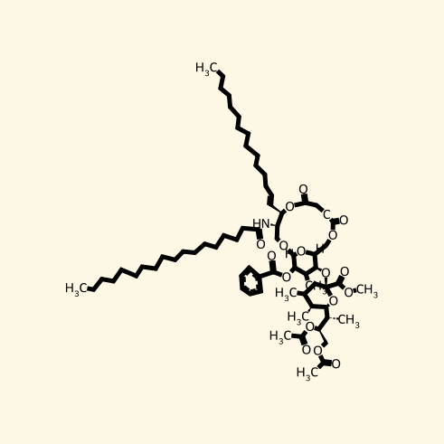 CCCCCCCCCCCCC/C=C/[C@H]1OC(=O)CCC(=O)OC[C@@H]2O[C@@H](OC[C@@H]1NC(=O)CCCCCCCCCCCCCCCCC)C(OC(=O)c1ccccc1)C(C)[C@@H]2O[C@]1(C(=O)OC)CC(C)[C@@H](C)[C@H]([C@H](C)[C@@H](COC(C)=O)OC(C)=O)O1